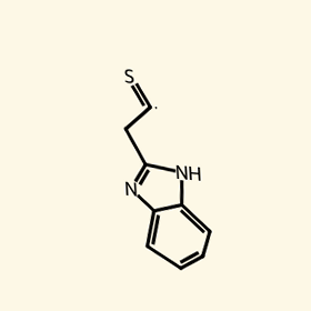 S=[C]Cc1nc2ccccc2[nH]1